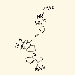 CNC(=O)c1ccccc1Sc1ccc(C(N)C#Cc2cccc(NC(=O)NCCOC)c2)c(N)c1